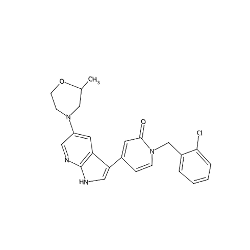 CC1CN(c2cnc3[nH]cc(-c4ccn(Cc5ccccc5Cl)c(=O)c4)c3c2)CCO1